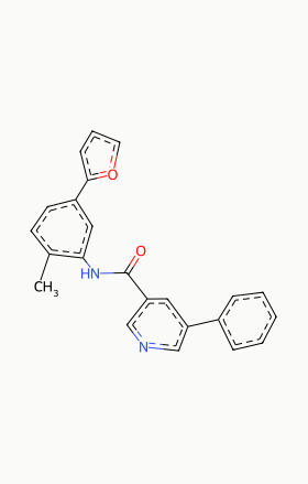 Cc1ccc(-c2ccco2)cc1NC(=O)c1cncc(-c2ccccc2)c1